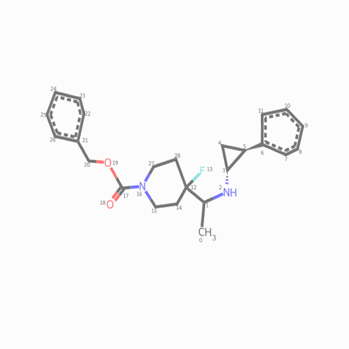 CC(N[C@@H]1C[C@H]1c1ccccc1)C1(F)CCN(C(=O)OCc2ccccc2)CC1